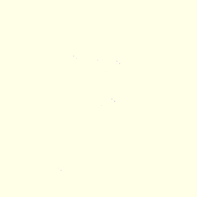 CC/C(C)=C(\NC(=O)c1ccc(OC2CCN(C)CC2)cc1)C1=C(N)NC(Nc2ccccc2F)C=C1